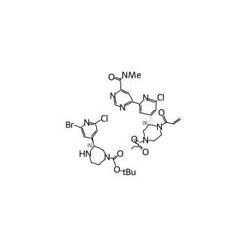 C=CC(=O)N1CCN(S(C)(=O)=O)C[C@@H]1c1cc(Cl)nc(-c2cc(C(=O)NC)ncn2)c1.CC(C)(C)OC(=O)N1CCN[C@@H](c2cc(Cl)nc(Br)c2)C1